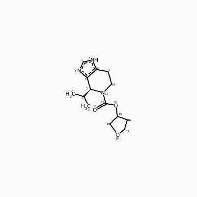 CC(C)[C@H]1c2nc[nH]c2CCN1C(=O)OC1CCOC1